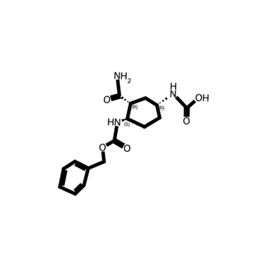 NC(=O)[C@@H]1C[C@H](NC(=O)O)CC[C@@H]1NC(=O)OCc1ccccc1